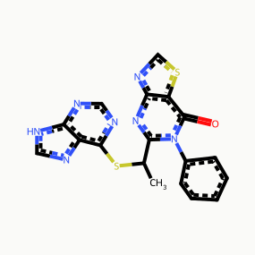 CC(Sc1ncnc2[nH]cnc12)c1nc2ncsc2c(=O)n1-c1ccccc1